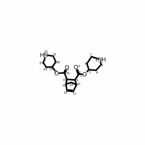 O=C(OC1CCNCC1)C1C2C=CC(C2)C1C(=O)OC1CCNCC1